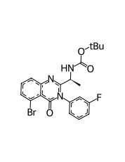 C[C@H](NC(=O)OC(C)(C)C)c1nc2cccc(Br)c2c(=O)n1-c1cccc(F)c1